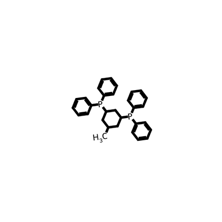 CC1CC(P(c2ccccc2)c2ccccc2)CC(P(c2ccccc2)c2ccccc2)C1